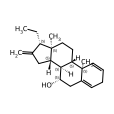 C=C1C[C@H]2[C@@H]3[C@@H](O)CC4=CCC=C[C@]4(C)[C@H]3CC[C@]2(C)[C@H]1CC